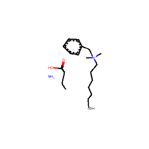 CCCC(=O)O.CCCCCCCCCCCCCCCC[N+](C)(C)Cc1ccccc1.N